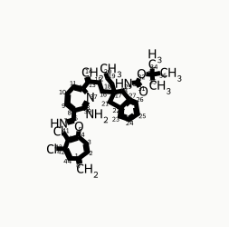 C=C1C=CC(OC(=N)C2=C=CC=C(C(=C)CCC3(CCC)Cc4ccccc4[C@H]3NC(=O)OC(C)(C)C)N=C2N)=C(Cl)C(Cl)=C1